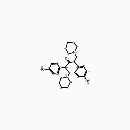 O=C(C(CN1CCCCC1)c1ccc(O)cc1)C(CN1CCCCC1)c1ccc(O)cc1